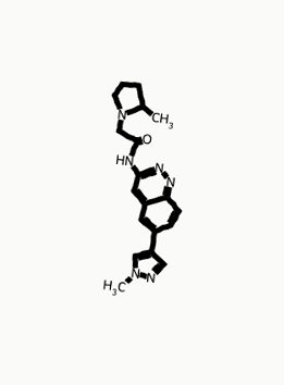 CC1CCCN1CC(=O)Nc1cc2cc(-c3cnn(C)c3)ccc2nn1